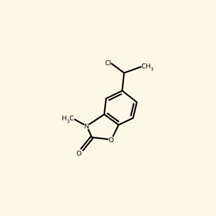 CC(Cl)c1ccc2oc(=O)n(C)c2c1